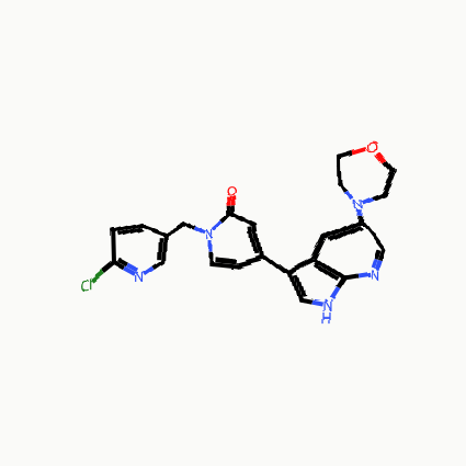 O=c1cc(-c2c[nH]c3ncc(N4CCOCC4)cc23)ccn1Cc1ccc(Cl)nc1